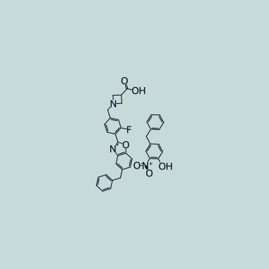 O=C(O)C1CN(Cc2ccc(-c3nc4cc(Cc5ccccc5)ccc4o3)c(F)c2)C1.O=[N+]([O-])c1cc(Cc2ccccc2)ccc1O